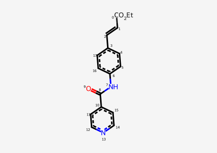 CCOC(=O)C=Cc1ccc(NC(=O)c2ccncc2)cc1